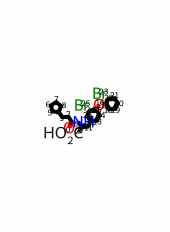 O=C(CCC1CCCC1)NC(=Cc1ccc(Oc2ccccc2Br)c(Br)c1)C(=O)O